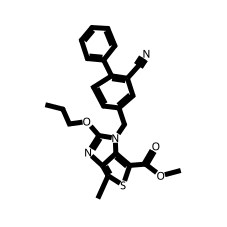 CCCOc1nc2c(C)sc(C(=O)OC)c2n1Cc1ccc(-c2ccccc2)c(C#N)c1